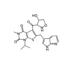 CC(C)n1c(=O)n(C)c(=O)c2c(C(=O)C3NOCC3O)c(Cc3c[nH]c4ncccc34)sc21